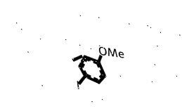 CC.COc1ccc(I)cc1